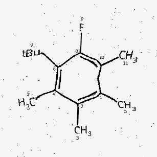 Cc1c(C)c(C)c(C(C)(C)C)c(F)c1C